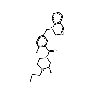 CCCN1CCN(C(=O)c2cc(CN3CN=Cc4ccccc43)ccc2F)C[C@H]1C